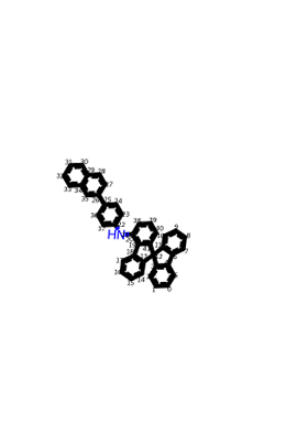 c1ccc2c(c1)-c1ccccc1C21c2ccccc2-c2c(Nc3ccc(-c4ccc5ccccc5c4)cc3)cccc21